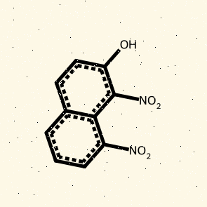 O=[N+]([O-])c1cccc2ccc(O)c([N+](=O)[O-])c12